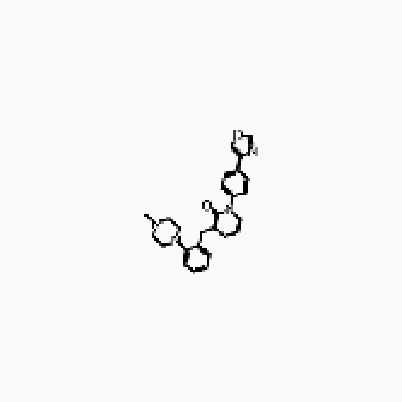 CN1CCN(c2ccccc2CC2CCCN(c3ccc(-c4cocn4)cc3)C2=O)CC1